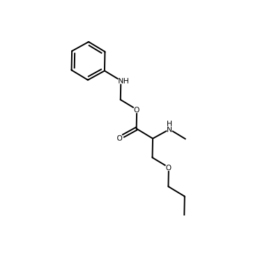 CCCOCC(NC)C(=O)OCNc1ccccc1